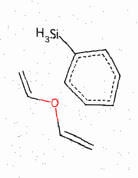 C=COC=C.[SiH3]c1ccccc1